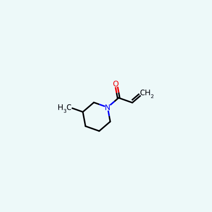 C=CC(=O)N1CCCC(C)C1